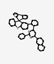 c1ccc(-c2nc(-c3ccc4ccccc4c3)cc(-c3ccccc3-c3ccc4c(c3)C3(c5ccccc5S4)c4ccccc4-c4ccccc43)n2)cc1